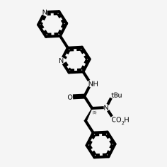 CC(C)(C)N(C(=O)O)[C@@H](Cc1ccccc1)C(=O)Nc1ccc(-c2ccncc2)nc1